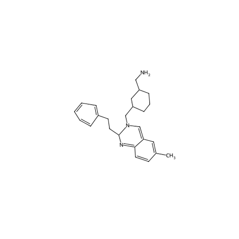 Cc1ccc2c(c1)=CN(CC1CCCC(CN)C1)C(CCc1ccccc1)N=2